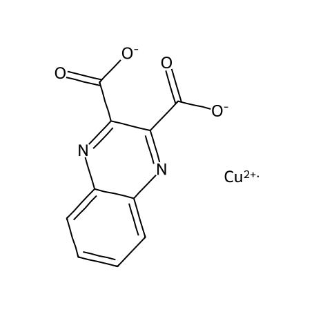 O=C([O-])c1nc2ccccc2nc1C(=O)[O-].[Cu+2]